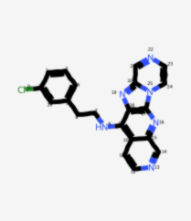 Clc1cccc(CCNc2c3ccncc3nc3c2nc2cnccn23)c1